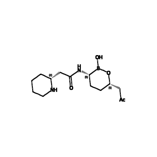 CC(=O)C[C@@H]1CC[C@H](NC(=O)C[C@H]2CCCCN2)B(O)O1